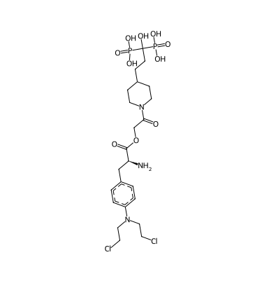 N[C@@H](Cc1ccc(N(CCCl)CCCl)cc1)C(=O)OCC(=O)N1CCC(CCC(O)(P(=O)(O)O)P(=O)(O)O)CC1